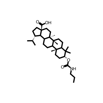 CCCNC(=O)O[C@@H]1CC[C@@]2(C)C(CC[C@]3(C)C2CCC2C4[C@H](C(C)C)CC[C@]4(C(=O)O)CC[C@]23C)C1(C)C